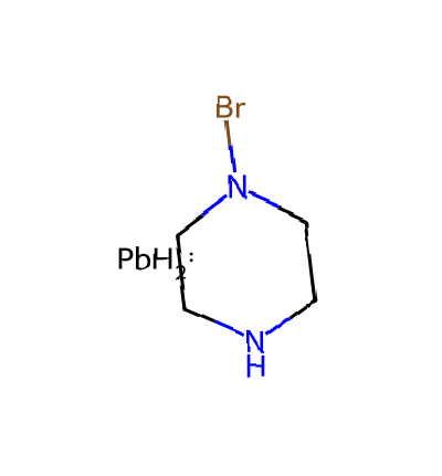 BrN1CCNCC1.[PbH2]